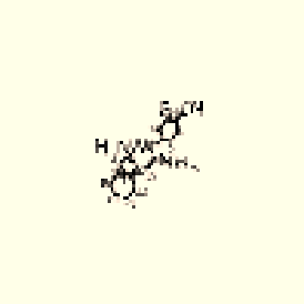 CC1(N)N=C(c2ccc(C#N)c(F)c2)C(N)=CN1N1CCCCC1